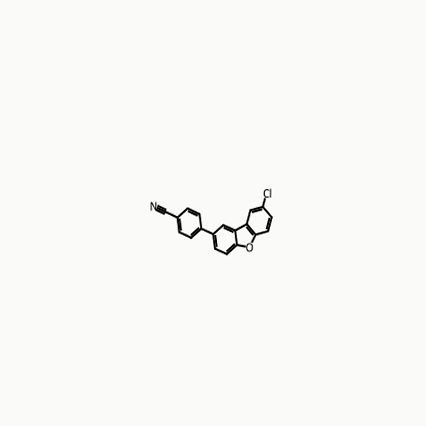 N#Cc1ccc(-c2ccc3oc4ccc(Cl)cc4c3c2)cc1